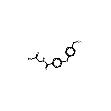 CCc1ccc(Oc2ccc(C(=O)NCC(=O)O)cc2)cc1